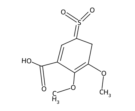 COC1=C(OC)C(C(=O)O)=CC(=S(=O)=O)C1